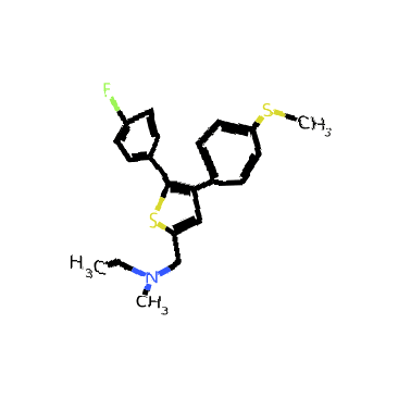 CCN(C)Cc1cc(-c2ccc(SC)cc2)c(-c2ccc(F)cc2)s1